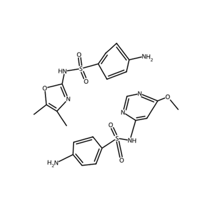 COc1cc(NS(=O)(=O)c2ccc(N)cc2)ncn1.Cc1nc(NS(=O)(=O)c2ccc(N)cc2)oc1C